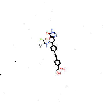 C[C@@H](CF)NCC(Cc1nc[nH]c(=O)c1O)c1ccc(C#Cc2ccc(C(O)CO)cc2)cc1